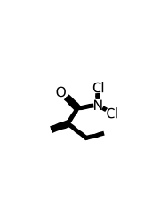 C=C(CC)C(=O)N(Cl)Cl